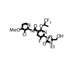 CCn1c(CO)nn(-c2nc(OC(C)C(F)(F)F)c(C(=O)Nc3nccc(OC)c3Cl)cc2F)c1=O